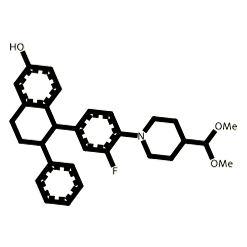 COC(OC)C1CCN(c2ccc(C3c4ccc(O)cc4CCC3c3ccccc3)cc2F)CC1